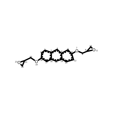 c1cc2cc3cc(OCC4CO4)ccc3cc2cc1OCC1CO1